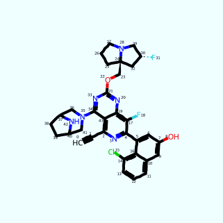 C#Cc1nc(-c2cc(O)cc3cccc(Cl)c23)c(F)c2nc(OC[C@@]34CCCN3C[C@H](F)C4)nc(N3CC4CCC(C3)N4)c12